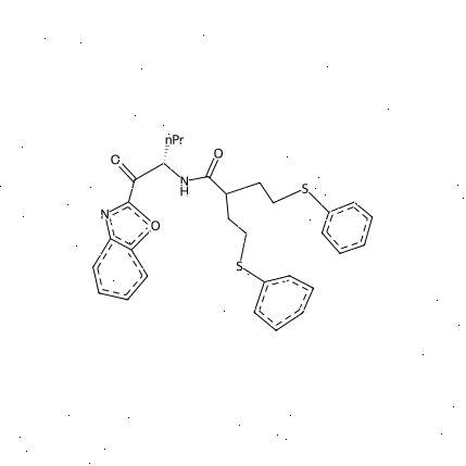 CCC[C@H](NC(=O)C(CCSc1ccccc1)CCSc1ccccc1)C(=O)c1nc2ccccc2o1